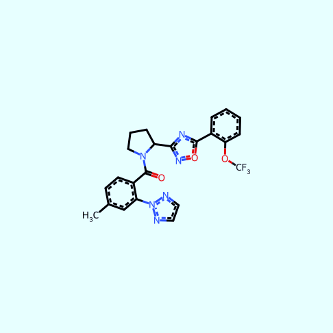 Cc1ccc(C(=O)N2CCCC2c2noc(-c3ccccc3OC(F)(F)F)n2)c(-n2nccn2)c1